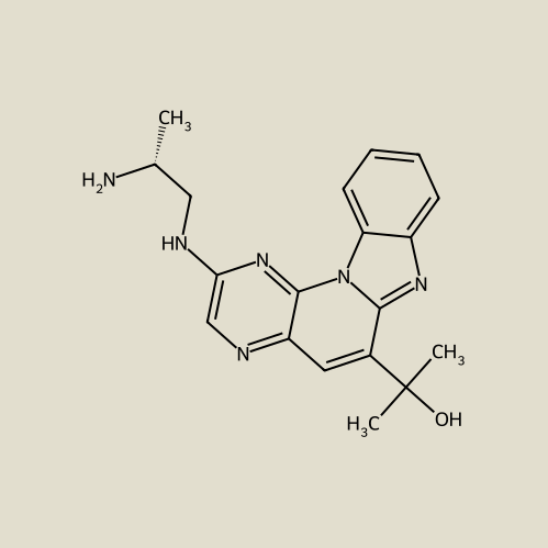 C[C@@H](N)CNc1cnc2cc(C(C)(C)O)c3nc4ccccc4n3c2n1